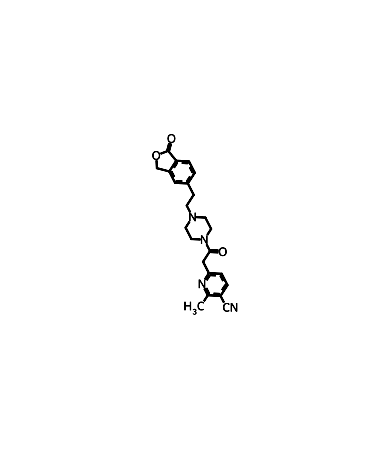 Cc1nc(CC(=O)N2CCN(CCc3ccc4c(c3)COC4=O)CC2)ccc1C#N